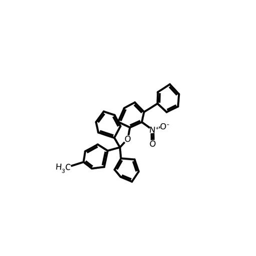 Cc1ccc(C(Oc2cccc(-c3ccccc3)c2[N+](=O)[O-])(c2ccccc2)c2ccccc2)cc1